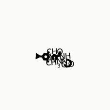 Cc1cc(C2CC2)cc(C)c1-n1cc2c(=O)[nH]c(N3CCOCCO3)nc2n1